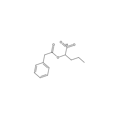 CCCC(OC(=O)Cc1ccccc1)[SH](=O)=O